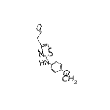 COc1ccc(Nc2nc(CC=O)cs2)cc1